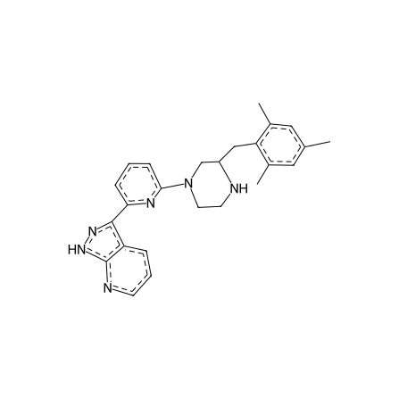 Cc1cc(C)c(CC2CN(c3cccc(-c4n[nH]c5ncccc45)n3)CCN2)c(C)c1